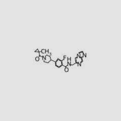 CC1(C(=O)N2CCC(c3ccc(C(=O)NCc4cn5ccnc5cn4)c(F)c3)CC2)CC1